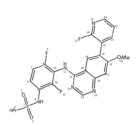 CCCS(=O)(=O)Nc1ccc(F)c(Nc2ncnc3cc(OC)c(-c4cccnc4F)cc23)c1F